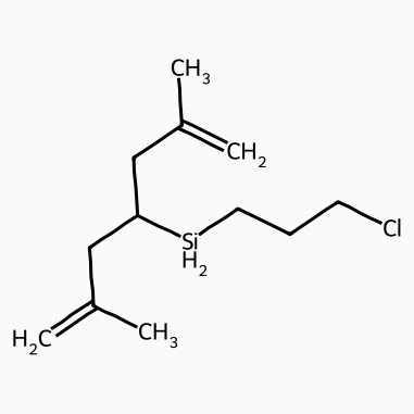 C=C(C)CC(CC(=C)C)[SiH2]CCCCl